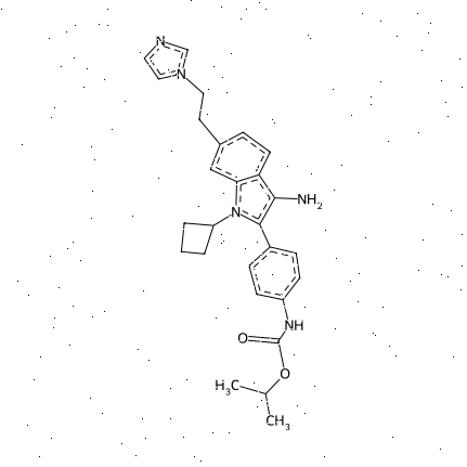 CC(C)OC(=O)Nc1ccc(-c2c(N)c3ccc(CCn4ccnc4)cc3n2C2CCC2)cc1